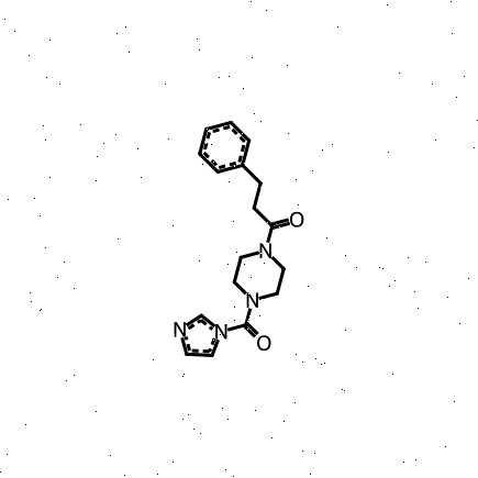 O=C(CCc1ccccc1)N1CCN(C(=O)n2ccnc2)CC1